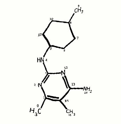 Cc1nc(NC2CCC(C)CC2)nc(N)c1C